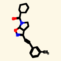 Cc1cccc(C#CC2=NOC3C2CCN3C(=O)C2CCCCC2)c1